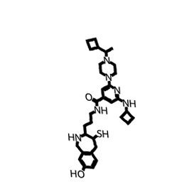 CC(C1CCC1)N1CCN(c2cc(C(=O)NCCCC3NCc4cc(O)ccc4CC3S)cc(NC3CCC3)n2)CC1